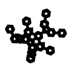 c1ccc(-c2ccc3c(c2)c2cc(-c4ccccc4)ccc2n3-c2cc(-c3nc(-c4ccccc4)cc(-c4ccccc4)n3)c(-n3c4ccc(-c5ccccc5)cc4c4cc(-c5cccc(-c6ccccc6)n5)ccc43)c(-c3nc(-c4ccccc4)cc(-c4ccccc4)n3)c2)cc1